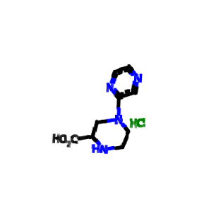 Cl.O=C(O)C1CN(c2cnccn2)CCN1